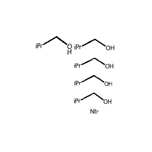 CC(C)CO.CC(C)CO.CC(C)CO.CC(C)CO.CC(C)CO.[Nb]